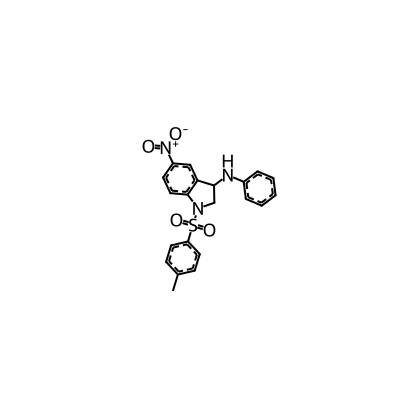 Cc1ccc(S(=O)(=O)N2CC(Nc3ccccc3)c3cc([N+](=O)[O-])ccc32)cc1